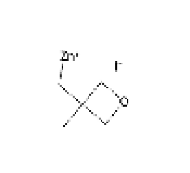 CC1([CH2][Zn+])COC1.[I-]